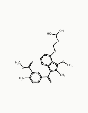 COC(=O)c1cc(C(=O)c2c(C)c(OC)c3c(OCOC(O)O)cccn23)ccc1N